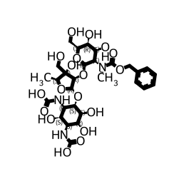 C[C@@H]1O[C@@H](O[C@@H]2[C@@H](O)[C@H](O)[C@@H](NC(=O)O)[C@H](O)[C@H]2NC(=O)O)[C@H](O[C@H]2O[C@@H](CO)[C@H](O)[C@@H](O)[C@@H]2N(C)C(=O)OCc2ccccc2)[C@@]1(O)CO